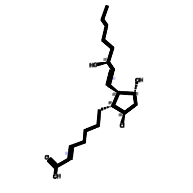 CCCCC[C@H](O)/C=C/[C@@H]1[C@@H](CCCC/C=C/C(=O)O)[C@H](Cl)C[C@H]1O